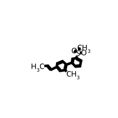 C/C=C/c1ccc(-c2cccc(S(C)(=O)=O)c2)c(C)c1